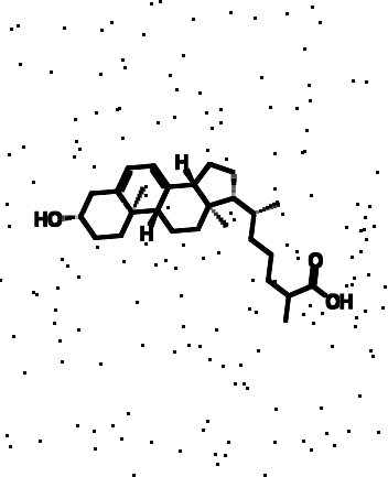 CC(CCC[C@@H](C)[C@H]1CC[C@H]2C3=CC=C4C[C@@H](O)CC[C@]4(C)[C@H]3CC[C@]12C)C(=O)O